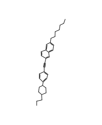 CCCCCCCc1ccc2cc(C#Cc3ccc(C4CCC(CCC)CC4)cc3)ccc2c1